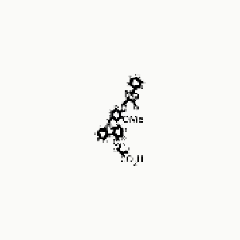 COc1cc(Cn2c3ccccc3c3c(OCCC(C)C(=O)O)cccc32)ccc1OCc1nc(-c2ccccc2)oc1C